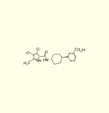 Cc1[nH]c(C(=O)N[C@H]2CC[C@H](c3cccc(C(=O)O)c3)CC2)c(Cl)c1Cl